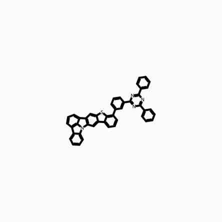 c1ccc(-c2nc(-c3ccccc3)nc(-c3cccc(-c4cccc5c4sc4cc6c7cccc8c9ccccc9n(c6cc45)c87)c3)n2)cc1